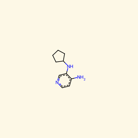 Nc1ccncc1NC1CCCC1